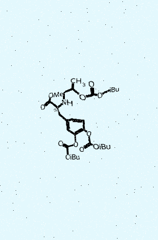 CCC(C)OC(=O)OC(C)CN[C@@H](Cc1ccc(OC(=O)OCC(C)C)c(OC(=O)OCC(C)C)c1)C(=O)OC